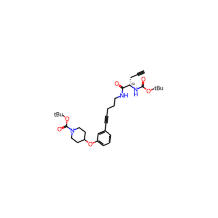 C#CC[C@H](NC(=O)OC(C)(C)C)C(=O)NCCCC#Cc1cccc(OC2CCN(C(=O)OC(C)(C)C)CC2)c1